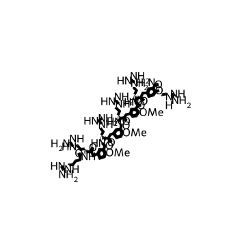 COc1ccc(CC(=O)[C@@H](CCCNC(=N)N)NC(=O)CCCCNC(=N)N)cc1C(=O)N[C@H](CCCNC(=N)N)C(=O)Cc1ccc(OC)c(C(=O)N[C@H](CCCNC(=N)N)C(=O)Cc2ccc(OC)c(C(=O)N[C@H](CCCNC(=N)N)C(=O)Cc3ccc(OCCNC(=N)N)c(C(N)=O)c3)c2)c1